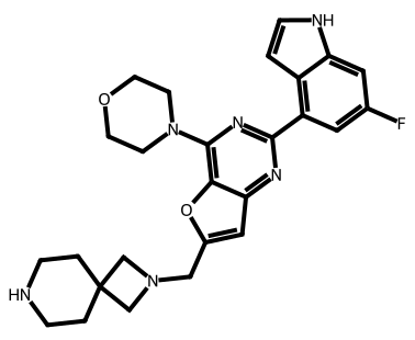 Fc1cc(-c2nc(N3CCOCC3)c3oc(CN4CC5(CCNCC5)C4)cc3n2)c2cc[nH]c2c1